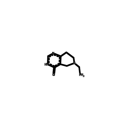 O=c1[nH]cnc2c1CN(CP)CC2